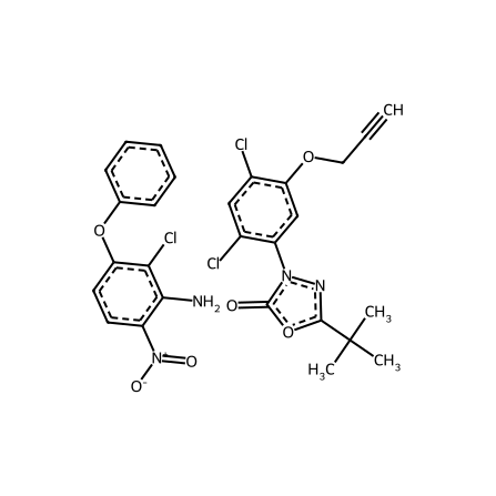 C#CCOc1cc(-n2nc(C(C)(C)C)oc2=O)c(Cl)cc1Cl.Nc1c([N+](=O)[O-])ccc(Oc2ccccc2)c1Cl